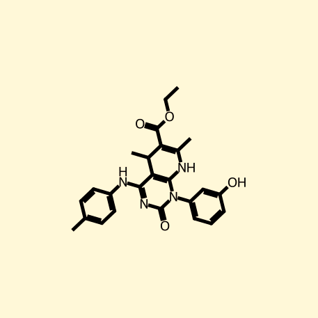 CCOC(=O)C1=C(C)Nc2c(c(Nc3ccc(C)cc3)nc(=O)n2-c2cccc(O)c2)C1C